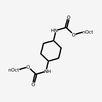 CCCCCCCCOC(=O)NC1CCC(NC(=O)OCCCCCCCC)CC1